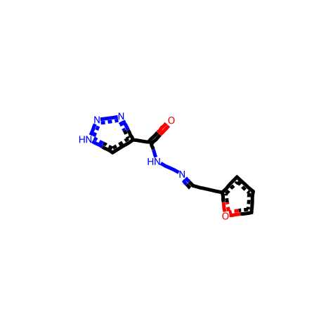 O=C(NN=Cc1ccco1)c1c[nH]nn1